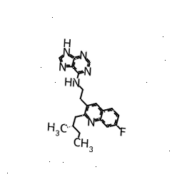 CC[C@H](C)Cc1nc2cc(F)ccc2cc1CCNc1ncnc2[nH]cnc12